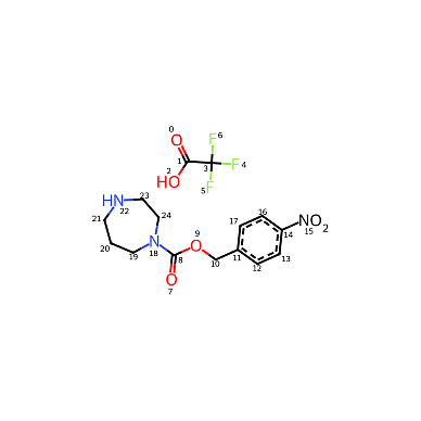 O=C(O)C(F)(F)F.O=C(OCc1ccc([N+](=O)[O-])cc1)N1CCCNCC1